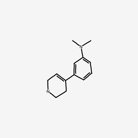 CN(C)c1cccc(C2=CC[N]CC2)c1